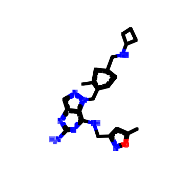 Cc1cc(CNc2nc(N)nc3cnn(Cc4ccc(CNC5CCC5)cc4C)c23)no1